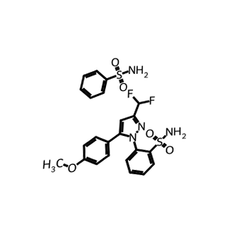 COc1ccc(-c2cc(C(F)F)nn2-c2ccccc2S(N)(=O)=O)cc1.NS(=O)(=O)c1ccccc1